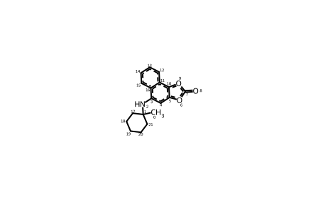 CC1(Nc2cc3oc(=O)oc3c3ccccc23)CCCCC1